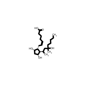 CCCCCC(C)(O)CC(C)[C@@H]1[C@@H](C/C=C\CCCC(=O)O)[C@@H](O)C[C@H]1O